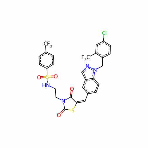 O=C1SC(=Cc2ccc3c(cnn3Cc3ccc(Cl)cc3C(F)(F)F)c2)C(=O)N1CCNS(=O)(=O)c1ccc(C(F)(F)F)cc1